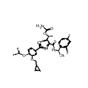 CC(OC(N)=O)c1oc(-c2ccc(OC(F)F)c(OCC3CC3)c2)nc1C(=O)NC(C#N)c1ccc(F)cc1F